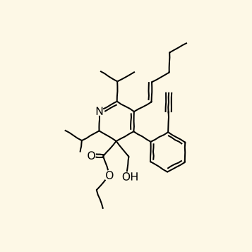 C#Cc1ccccc1C1=C(/C=C/CCC)C(C(C)C)=NC(C(C)C)C1(CO)C(=O)OCC